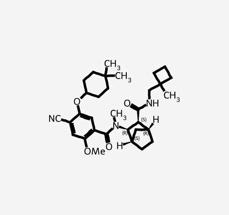 COc1cc(C#N)c(OC2CCC(C)(C)CC2)cc1C(=O)N(C)[C@@H]1[C@H]2CC[C@H](C2)[C@@H]1C(=O)NCC1(C)CCC1